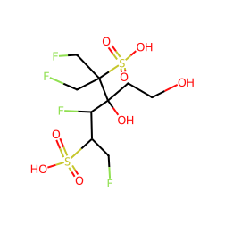 O=S(=O)(O)C(CF)C(F)C(O)(CCO)C(CF)(CF)S(=O)(=O)O